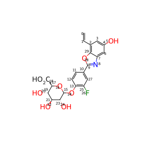 C=Cc1cc(O)cc2nc(-c3ccc(OC4O[C@H](C(=O)O)[C@@H](O)[C@H](O)[C@H]4O)c(F)c3)oc12